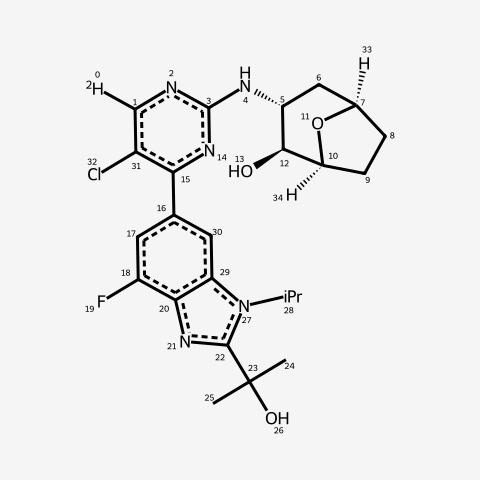 [2H]c1nc(N[C@@H]2C[C@H]3CC[C@H](O3)[C@H]2O)nc(-c2cc(F)c3nc(C(C)(C)O)n(C(C)C)c3c2)c1Cl